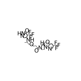 CC(COCCC(=O)N1CCN2c3ncc(C(F)(F)F)cc3OC[C@@H]2C1)Nc1cn[nH]c(=O)c1C(F)(F)F